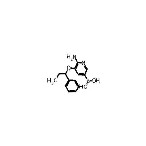 CCC(Oc1cc(B(O)O)cnc1N)c1ccccc1